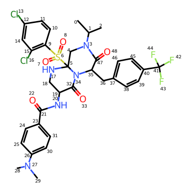 CC(C)N1CC2(S(=O)(=O)c3ccc(Cl)cc3Cl)NCC(NC(=O)c3ccc(N(C)C)cc3)C(=O)N2C(Cc2ccc(C(F)(F)F)cc2)C1=O